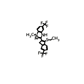 CCSC1=C(C(=O)Nc2cc(C(F)(F)F)ccc2NC)Cc2cc(C(F)(F)F)ccc21